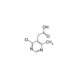 Cc1ncnc(Cl)c1CC(=O)O